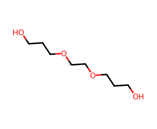 OCCCO[CH]COCCCO